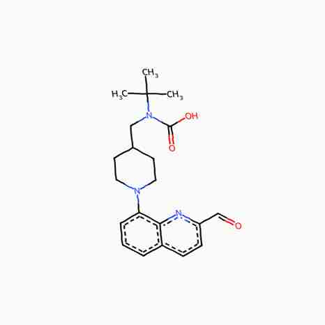 CC(C)(C)N(CC1CCN(c2cccc3ccc(C=O)nc23)CC1)C(=O)O